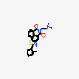 Cc1ccccc1-c1nc2cc3c4c(cccc4c2s1)C(=O)N(CCN(C)C)C3=O